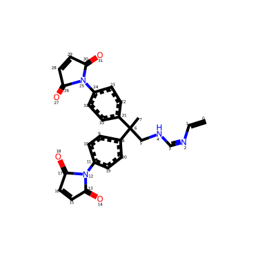 C=C/N=C\NCC(C)(c1ccc(N2C(=O)C=CC2=O)cc1)c1ccc(N2C(=O)C=CC2=O)cc1